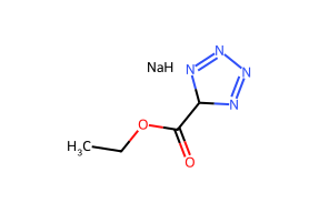 CCOC(=O)C1N=NN=N1.[NaH]